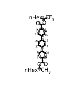 CCCCCC[C@@H](C)OC(=O)c1ncc(-c2ccc(-c3cnc(C(=O)O[C@@H](CCCCCC)C(F)(F)F)nc3)cc2)cn1